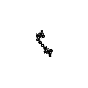 CC(C)(C)OC(=O)N[C@@H](C(=O)N1CCC[C@H]1c1nc(-c2ccc(-c3ccc(-c4csc([C@@H]5CCCN5C(=O)[C@H](NC(=O)OC(C)(C)C)c5ccccc5)n4)cc3)cc2)no1)c1ccccc1